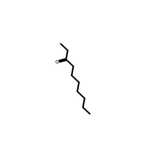 [CH2]CC(=O)CCCCCCC